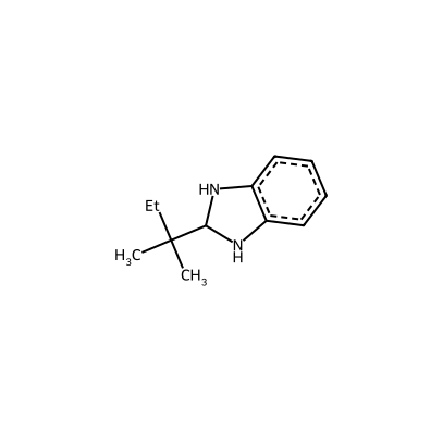 CCC(C)(C)C1Nc2ccccc2N1